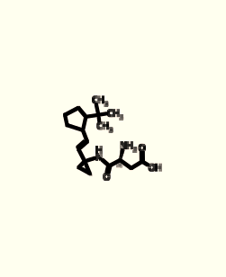 CC(C)(C)C1CCCC1C=CC1(NC(=O)[C@@H](N)CC(=O)O)CC1